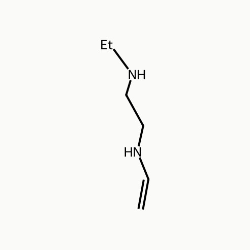 C=CNCCNCC